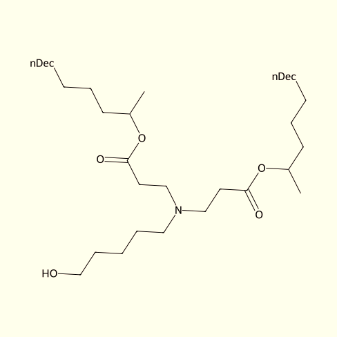 CCCCCCCCCCCCCC(C)OC(=O)CCN(CCCCCO)CCC(=O)OC(C)CCCCCCCCCCCCC